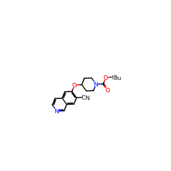 CC(C)(C)OC(=O)N1CCC(Oc2cc3ccncc3cc2C#N)CC1